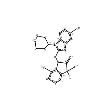 O=C1N(Cc2nc3cc(Cl)ccc3n2C2CCOCC2)c2c(F)cccc2C1(F)F